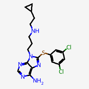 Nc1ncnc2c1nc(Sc1cc(Cl)cc(Cl)c1)n2CCCNCCC1CC1